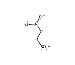 CCCN(CC)CCS(=O)(=O)O